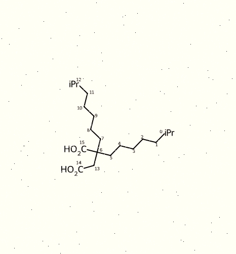 CC(C)CCCCCC(CCCCCC(C)C)(CC(=O)O)C(=O)O